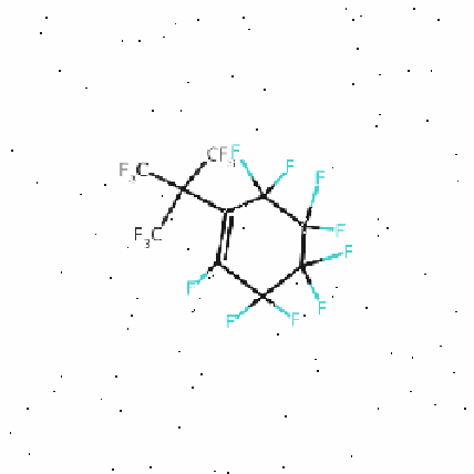 FC1=C(C(C(F)(F)F)(C(F)(F)F)C(F)(F)F)C(F)(F)C(F)(F)C(F)(F)C1(F)F